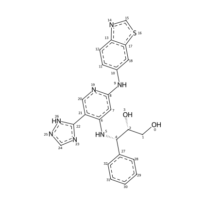 OC[C@@H](O)[C@@H](Nc1cc(Nc2ccc3ncsc3c2)ncc1-c1ncn[nH]1)c1ccccc1